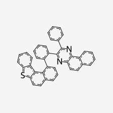 c1ccc(-c2nc3c(ccc4ccccc43)nc2-c2ccccc2-c2cccc3ccc4sc5ccccc5c4c23)cc1